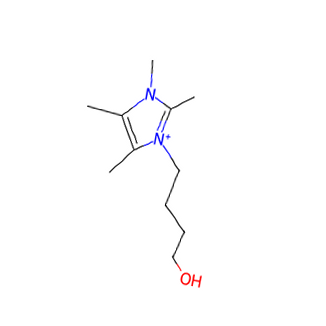 Cc1c(C)[n+](CCCCO)c(C)n1C